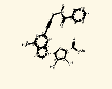 CNC(=O)[C@H]1O[C@@H](n2cnc3c(N)nc(C#CCN(C)C(=O)c4cncnc4)nc32)[C@H](O)[C@@H]1O